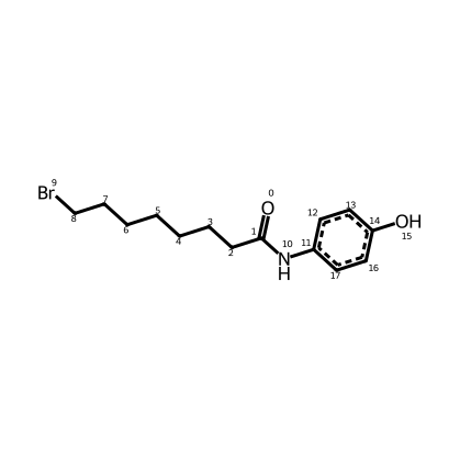 O=C(CCCCCCCBr)Nc1ccc(O)cc1